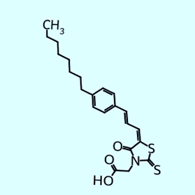 CCCCCCCCc1ccc(C=CC=C2SC(=S)N(CC(=O)O)C2=O)cc1